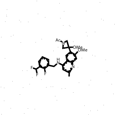 COc1cc2nc(C)cc(NCc3cccc(C(F)F)c3F)c2cc1C1(OC)CN(C(C)=O)C1